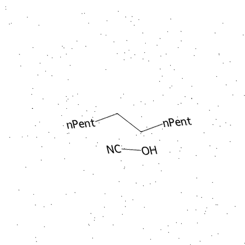 CCCCCCCCCCCC.N#CO